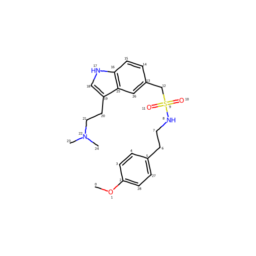 COc1ccc(CCNS(=O)(=O)Cc2ccc3[nH]cc(CCN(C)C)c3c2)cc1